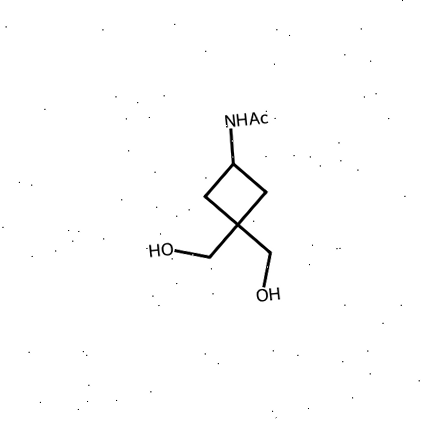 CC(=O)NC1CC(CO)(CO)C1